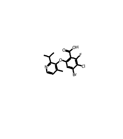 Cc1ccnc(C(C)C)c1Oc1cc(Br)c(Cl)c(F)c1C(=O)O